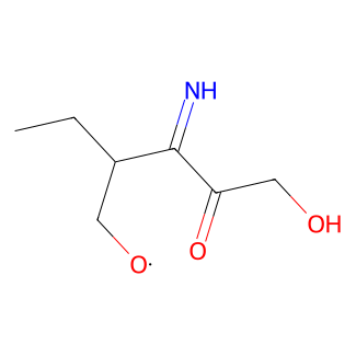 CCC(C[O])C(=N)C(=O)CO